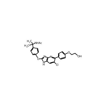 CC(=O)NC(C)(C)c1ccc(Oc2nc3nc(-c4ccc(OCCO)cc4)c(Cl)cc3[nH]2)cc1